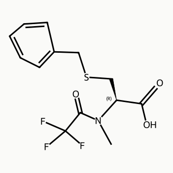 CN(C(=O)C(F)(F)F)[C@@H](CSCc1ccccc1)C(=O)O